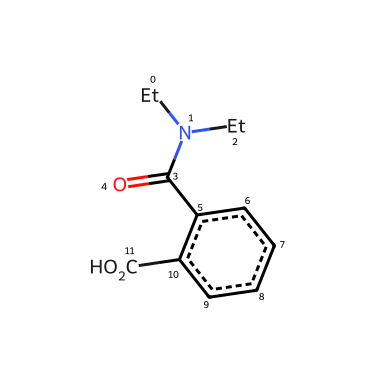 CCN(CC)C(=O)c1ccccc1C(=O)O